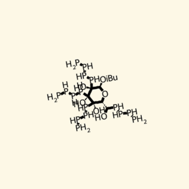 CC(C)CO[C@H]1O[C@H](C(O)PPPP)[C@@](O)(PPPP)[C@@](O)(PPPP)[C@]1(O)PPPP